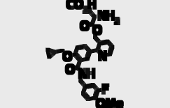 COc1ccc(CNC(=O)c2cc(-c3ncccc3COC(=O)[C@@H](N)CC(=O)O)ccc2OCC2CC2)cc1F